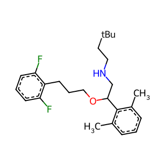 Cc1cccc(C)c1C(CNCCC(C)(C)C)OCCCc1c(F)cccc1F